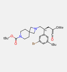 COC(=C=O)C[C@H](CN1CC2(CCN(C(=O)OC(C)(C)C)CC2)C1)c1cc(Br)cc(C(C)(C)C)c1